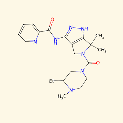 CCC1CN(C(=O)N2Cc3c(NC(=O)c4ccccn4)n[nH]c3C2(C)C)CCN1C